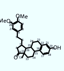 COc1ccc(CCC2CC(=O)C3(C)CCC4c5ccc(O)cc5CCC4C23)cc1OC